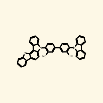 N#Cc1cc(-c2ccc(-n3c4ccccc4c4c5oc6ccccc6c5ccc43)c(C#N)c2)ccc1-n1c2ccccc2c2ccccc21